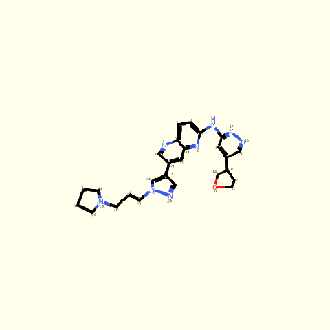 c1nc2ccc(Nc3cc(C4CCOC4)cnn3)nc2cc1-c1cnn(CCCN2CCCC2)c1